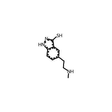 CNCCc1ccc2[nH]nc(S)c2c1